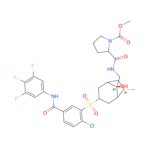 COC(=O)N1CCCC1C(=O)NC[C@@]1(O)C2CC(S(=O)(=O)c3cc(C(=O)Nc4cc(F)c(F)c(F)c4)ccc3Cl)CC1[C@@H](C)C2